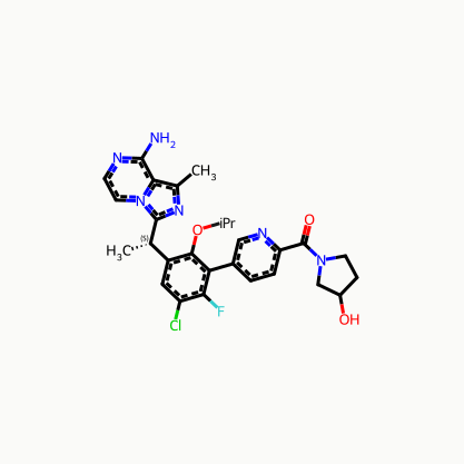 Cc1nc([C@@H](C)c2cc(Cl)c(F)c(-c3ccc(C(=O)N4CCC(O)C4)nc3)c2OC(C)C)n2ccnc(N)c12